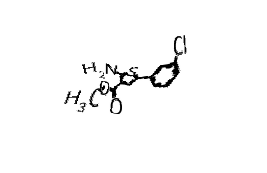 COC(=O)c1cc(-c2cccc(Cl)c2)sc1N